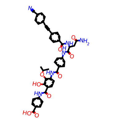 CC(C)Oc1c(NC(=O)c2ccc(NC(=O)C(CC(N)=O)NC(=O)c3ccc(C#Cc4ccc(C#N)cc4)cc3)cc2)ccc(C(=O)Nc2ccc(C(=O)O)cc2)c1O